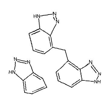 c1cc(Cc2cccc3[nH]nnc23)c2nn[nH]c2c1.c1ccc2[nH]nnc2c1